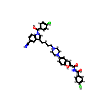 N#Cc1ccc2c(c1)c(CCCCN1CCN(c3ccc4oc(C(=O)NC(=O)c5ccc(Cl)cc5)cc4c3)CC1)cn2C(=O)c1ccc(Cl)cc1